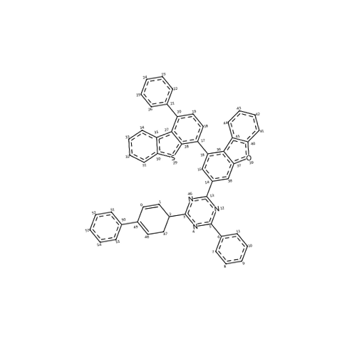 C1=CC(c2nc(-c3ccccc3)nc(-c3cc(-c4ccc(-c5ccccc5)c5c4sc4ccccc45)c4c(c3)oc3ccccc34)n2)CC=C1c1ccccc1